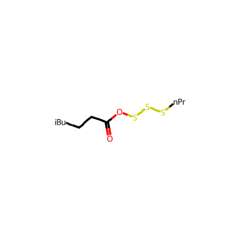 CCCSSSOC(=O)CCC(C)CC